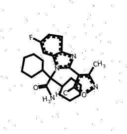 Cc1noc(C)c1-c1nc2ccc(F)cc2n1C(C(N)=O)(C1CCCCC1)C1CCCCC1